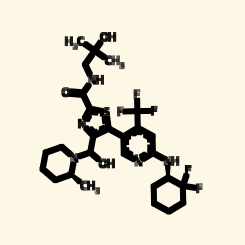 C[C@H]1CCCCN1C(O)c1nc(C(=O)NCC(C)(C)O)sc1-c1cnc(N[C@@H]2CCCCC2(F)F)cc1C(F)(F)F